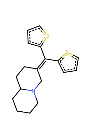 c1csc(C(=C2CCC3CCCCN3C2)c2cccs2)c1